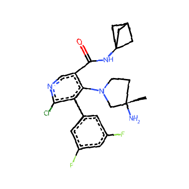 C[C@]1(N)CCN(c2c(C(=O)NC34CC(C3)C4)cnc(Cl)c2-c2cc(F)cc(F)c2)C1